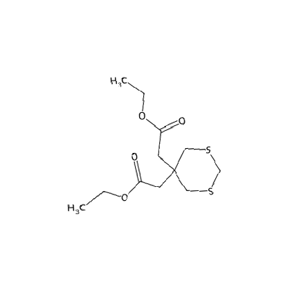 CCOC(=O)CC1(CC(=O)OCC)CSCSC1